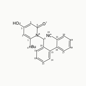 CCCCc1cc(O)cc(=O)n1Cc1ccccc1-c1ccccc1C#N